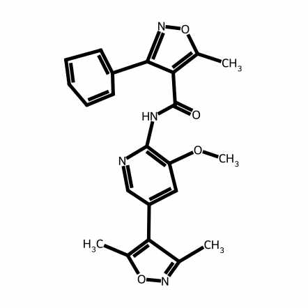 COc1cc(-c2c(C)noc2C)cnc1NC(=O)c1c(-c2ccccc2)noc1C